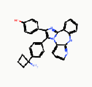 NC1(c2ccc(-c3c(-c4ccc(O)cc4)nc4n3-c3cccnc3Nc3ccccc3-4)cc2)CCC1